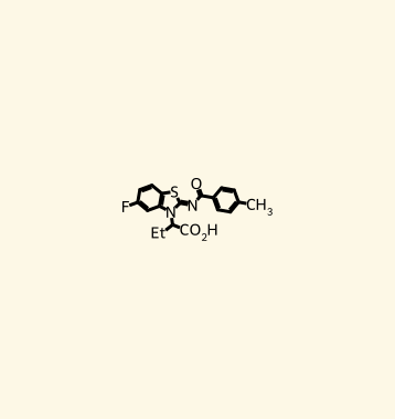 CCC(C(=O)O)n1c(=NC(=O)c2ccc(C)cc2)sc2ccc(F)cc21